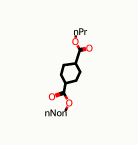 CCCCCCCCCOC(=O)C1CCC(C(=O)OCCC)CC1